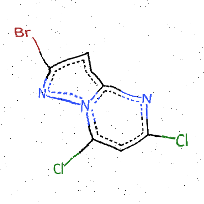 Clc1cc(Cl)n2nc(Br)cc2n1